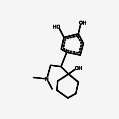 CN(C)CC(c1ccc(O)c(O)c1)C1(O)CCCCC1